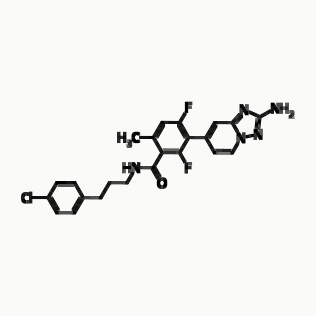 Cc1cc(F)c(-c2ccn3nc(N)nc3c2)c(F)c1C(=O)NCCCc1ccc(Cl)cc1